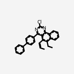 C/C=C\c1c(CC)c2ccccc2c2nc(Cl)nc(-c3ccc(-c4ccccc4)cc3)c12